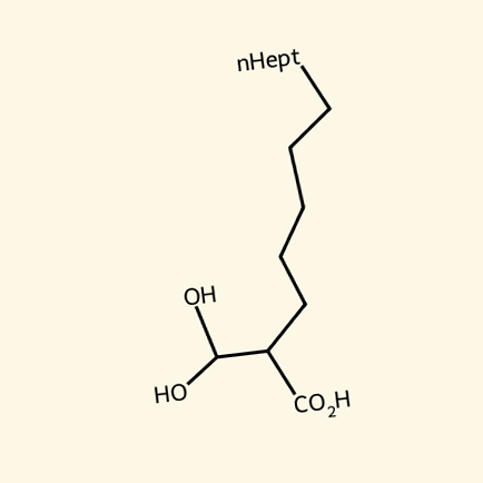 CCCCCCCCCCCCC(C(=O)O)C(O)O